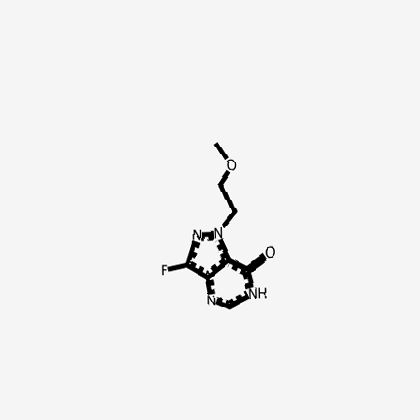 COCCn1nc(F)c2nc[nH]c(=O)c21